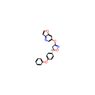 c1ccc(Oc2ccc([C@@H]3CC(Oc4cnc5ccoc5c4)=NO3)cc2)cc1